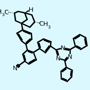 C[C@@H]1C[C@@H]2C[C@H](C)CC(c3ccc(-c4cc(C#N)ccc4-c4cccc(-c5nc(-c6ccccc6)nc(-c6ccccc6)n5)c4)cc3)(C1)C2